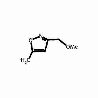 [CH2]c1cc(COC)no1